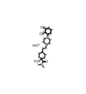 CN(C)C(=O)C1(N)CCC(CCN2CCN(c3cccc(Cl)c3Cl)CC2)CC1.Cl